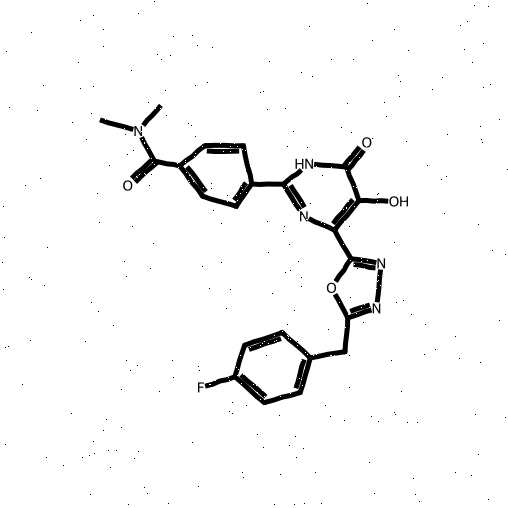 CN(C)C(=O)c1ccc(-c2nc(-c3nnc(Cc4ccc(F)cc4)o3)c(O)c(=O)[nH]2)cc1